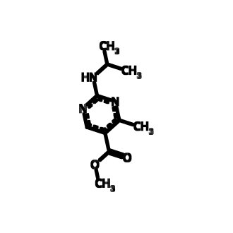 COC(=O)c1cnc(NC(C)C)nc1C